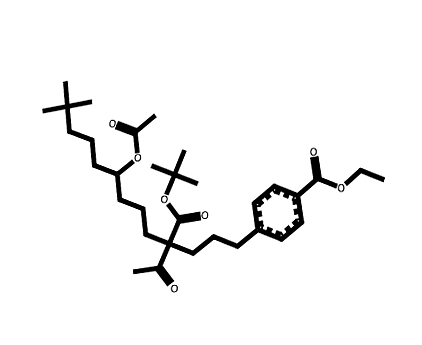 CCOC(=O)c1ccc(CCCC(CCCC(CCCC(C)(C)C)OC(C)=O)(C(C)=O)C(=O)OC(C)(C)C)cc1